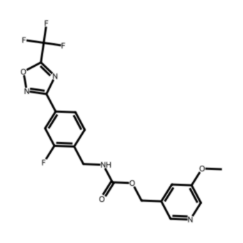 COc1cncc(COC(=O)NCc2ccc(-c3noc(C(F)(F)F)n3)cc2F)c1